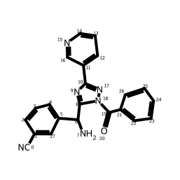 N#Cc1cccc(C(N)c2nc(-c3cccnc3)nn2C(=O)c2ccccc2)c1